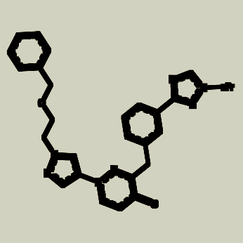 CCCn1cnc(-c2cccc(Cc3nn(-c4cnn(CCOCc5ccccc5)c4)ccc3=O)c2)n1